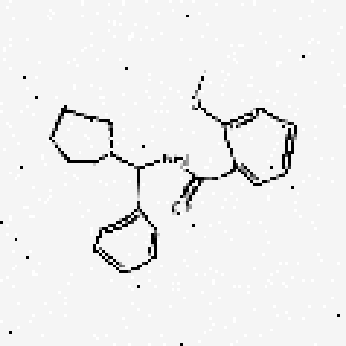 COc1ccccc1C(=O)NC(c1ccccc1)C1CCCC1